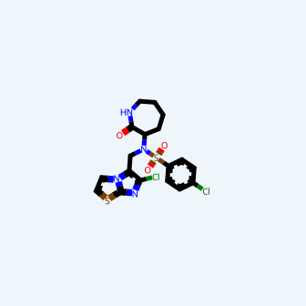 O=C1NCCCCC1N(Cc1c(Cl)nc2sccn12)S(=O)(=O)c1ccc(Cl)cc1